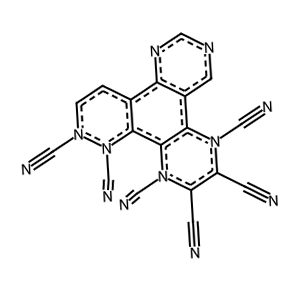 N#Cc1c(C#N)n(C#N)c2c(c3cncnc3c3ccn(C#N)n(C#N)c32)n1C#N